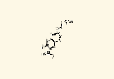 COCCOc1ccc2cc(C([NH])=O)c(=O)oc2c1